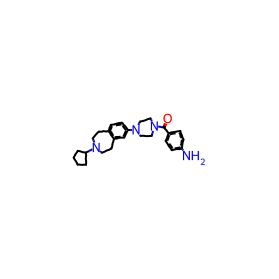 Nc1ccc(C(=O)N2CCN(c3ccc4c(c3)CCN(C3CCCC3)CC4)CC2)cc1